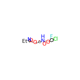 CCc1cc(COCC23CC(NC(=O)COc4ccc(Cl)c(F)c4)(C2)C3)on1